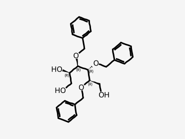 OC[C@@H](O)[C@@H](OCc1ccccc1)[C@H](OCc1ccccc1)[C@@H](CO)OCc1ccccc1